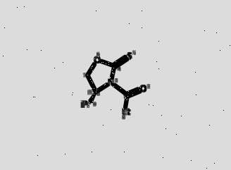 CCC(=O)N1C(=S)OC[C@@H]1C(C)C